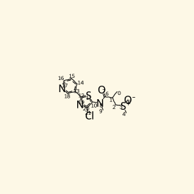 CC(C[S+](C)[O-])C(=O)N(C)c1sc(-c2cccnc2)nc1Cl